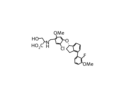 COc1cc(O[C@H]2CCc3c(-c4cccc(OC)c4F)cccc32)c(Cl)cc1CNC(CO)C(=O)O